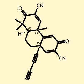 C#CC#C[C@]12C=C(C#N)C(=O)C=C1[C@@]1(C)C=C(C#N)C(=O)C(C)(C)[C@@H]1CC2